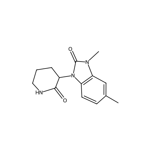 Cc1ccc2c(c1)n(C)c(=O)n2C1CCCNC1=O